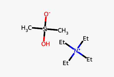 CC[N+](CC)(CC)CC.C[Si](C)([O-])O